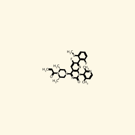 C=CC(=O)N1[C@H](C)CN(c2nc(=O)n(-c3c(C)ccnc3C)c3nc(-c4c(F)cccc4SC)c(F)cc23)C[C@@H]1C